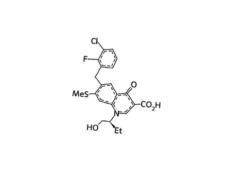 CC[C@@H](CO)n1cc(C(=O)O)c(=O)c2cc(Cc3cccc(Cl)c3F)c(SC)cc21